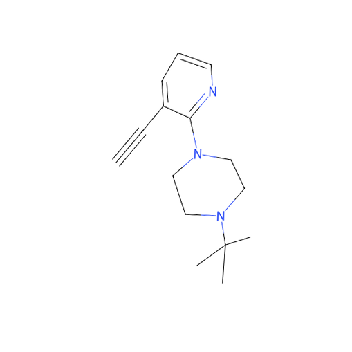 C#Cc1cccnc1N1CCN(C(C)(C)C)CC1